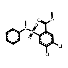 COC(=O)c1cc(Cl)c(Cl)cc1S(=O)(=O)N(C)c1ccccc1